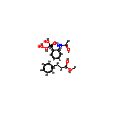 CC(=O)Nc1ccccc1[As](=O)(O)OO.COC(=O)CCc1ccccc1